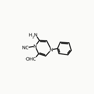 N#CN1C(N)=CN(c2ccccc2)C=C1[C]=O